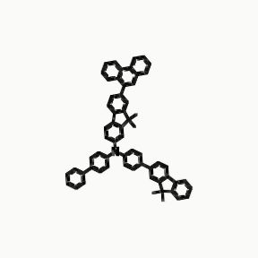 CC1(C)c2ccccc2-c2ccc(-c3ccc(N(c4ccc(-c5ccccc5)cc4)c4ccc5c(c4)C(C)(C)c4cc(-c6cc7ccccc7c7ccccc67)ccc4-5)cc3)cc21